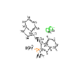 CCCP(CCC)C1=Cc2ccccc2[CH]1[Ti+2][CH]1CCC2CC=CC=C21.[Cl-].[Cl-]